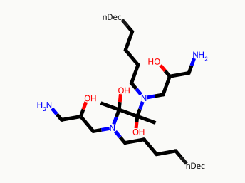 CCCCCCCCCCCCCCN(CC(O)CN)C(C)(O)C(C)(O)N(CCCCCCCCCCCCCC)CC(O)CN